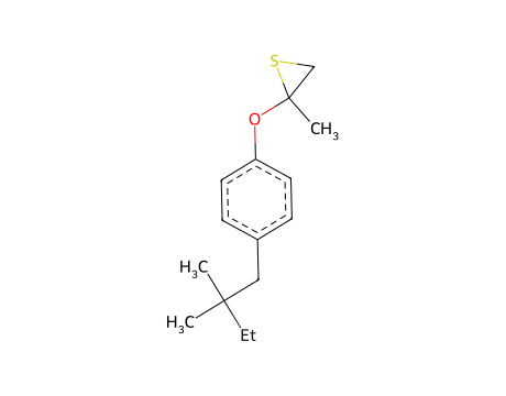 CCC(C)(C)Cc1ccc(OC2(C)CS2)cc1